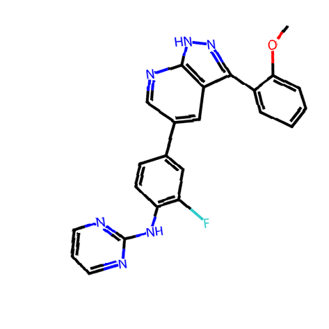 COc1ccccc1-c1n[nH]c2ncc(-c3ccc(Nc4ncccn4)c(F)c3)cc12